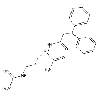 N=C(N)NCCC[C@H](NC(=O)CC(c1ccccc1)c1ccccc1)C(N)=O